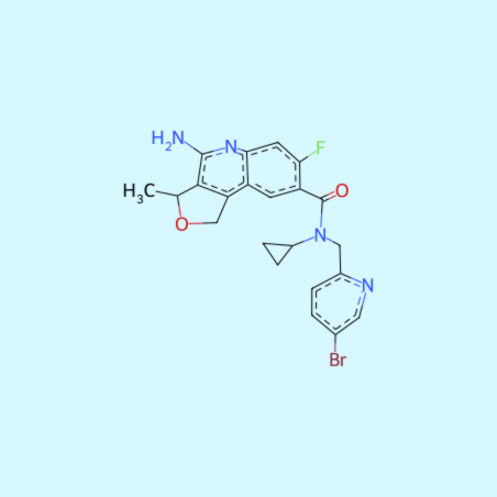 CC1OCc2c1c(N)nc1cc(F)c(C(=O)N(Cc3ccc(Br)cn3)C3CC3)cc21